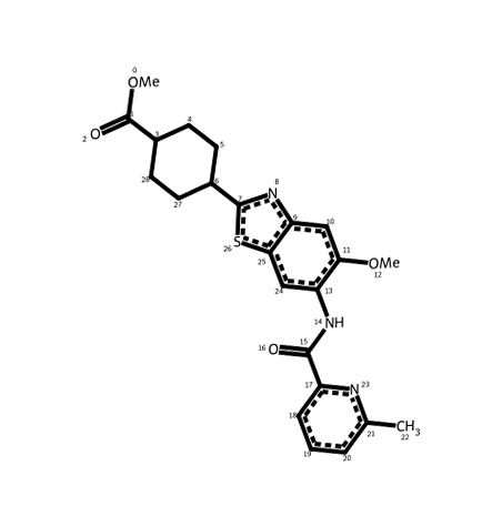 COC(=O)C1CCC(c2nc3cc(OC)c(NC(=O)c4cccc(C)n4)cc3s2)CC1